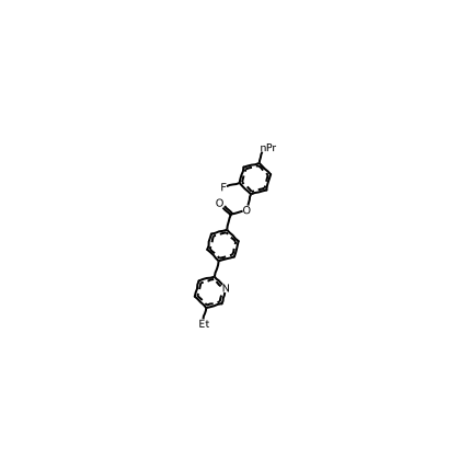 CCCc1ccc(OC(=O)c2ccc(-c3ccc(CC)cn3)cc2)c(F)c1